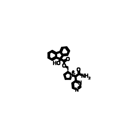 C[N+]1(C(C(N)=O)c2ccncn2)CCC[C@@H]1COC(=O)C1(O)c2ccccc2-c2ccccc21